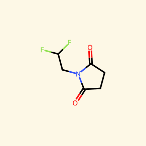 O=C1CCC(=O)N1CC(F)F